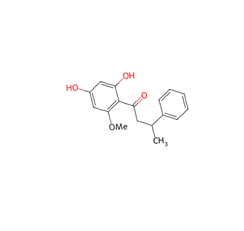 COc1cc(O)cc(O)c1C(=O)CC(C)c1ccccc1